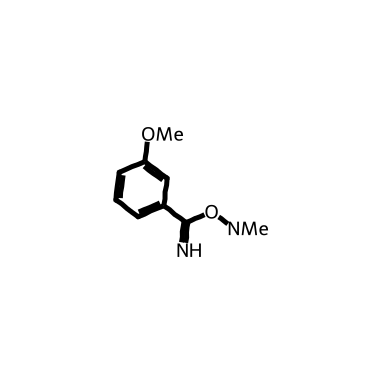 CNOC(=N)c1cccc(OC)c1